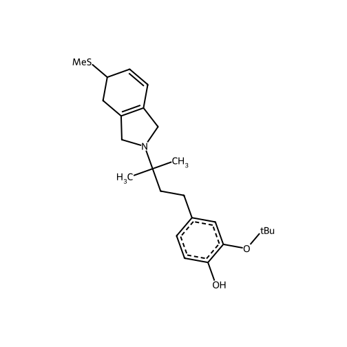 CSC1C=CC2=C(C1)CN(C(C)(C)CCc1ccc(O)c(OC(C)(C)C)c1)C2